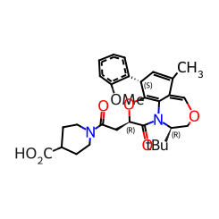 COc1ccccc1[C@@H]1C=C(C)C2=COC[C@@H](C(C)(C)C)N3C(=O)[C@@H](CC(=O)N4CCC(C(=O)O)CC4)OC1=C23